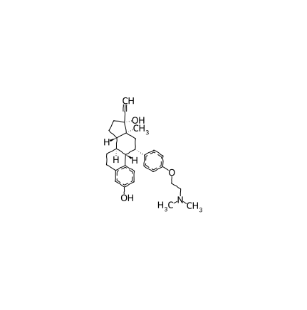 C#C[C@]1(O)CC[C@H]2[C@@H]3CCc4cc(O)ccc4[C@H]3[C@@H](c3ccc(OCCN(C)C)cc3)C[C@@]21C